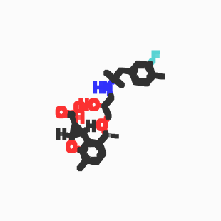 Cc1ccc(CC(C)(C)NC[C@@H](O)CO[C@H](C)c2ccc(C)c3c2[C@@H]2[C@H](O3)[C@H]2C(=O)O)cc1F